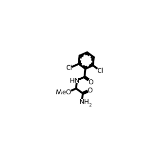 COC(NC(=O)c1c(Cl)cccc1Cl)C(N)=O